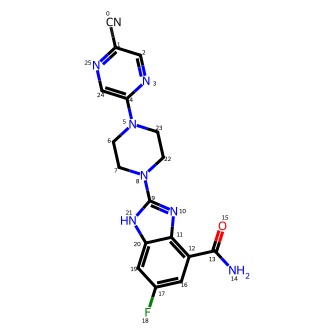 N#Cc1cnc(N2CCN(c3nc4c(C(N)=O)cc(F)cc4[nH]3)CC2)cn1